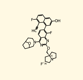 C#Cc1c(F)ccc2cc(O)cc(-c3ccc4c(N5CCC6CCC(C5)O6)nc(OC[C@@]56CCCN5C[C@H](F)C6)nc4c3F)c12